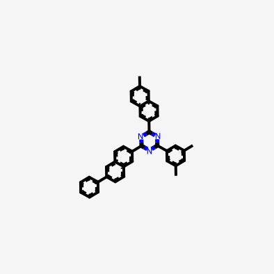 Cc1cc(C)cc(-c2nc(-c3ccc4cc(C)ccc4c3)nc(-c3ccc4cc(-c5ccccc5)ccc4c3)n2)c1